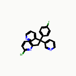 Fc1ccc(C(Cc2cccc(Br)n2)(c2cccnc2)c2cccnc2)cc1